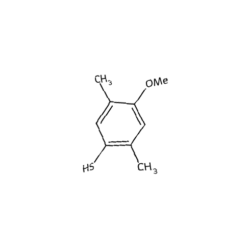 COc1cc(C)c(S)cc1C